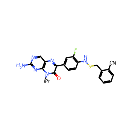 CC(C)n1c(=O)c(-c2ccc(NSCc3ccccc3C#N)c(F)c2)nc2cnc(N)nc21